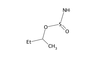 CCC(C)OS([NH])=O